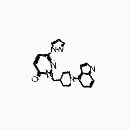 O=c1ccc(-n2cccn2)nn1CC1CCN(C2=C3C=CN=C3C=CC2)CC1